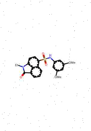 CCN1C(=O)c2cccc3c(S(=O)(=O)Nc4cc(OC)cc(OC)c4)ccc1c23